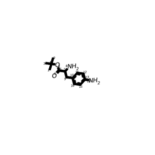 CC(C)(C)OC(=O)C(N)Cc1ccc(N)cc1